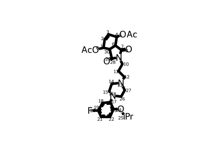 CC(=O)OC1C=CC(OC(C)=O)C2C(=O)N(CCCN3CCN(c4cc(F)ccc4OC(C)C)CC3)C(=O)C12